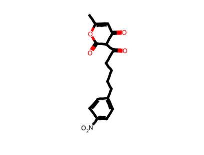 CC1=CC(=O)C(C(=O)CCCCc2ccc([N+](=O)[O-])cc2)C(=O)O1